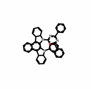 C1=CC2c3c(c4c(c5ccccc35)C3C=CC=CC3N4c3nc(-c4ccccc4)nc(-c4ccccc4)n3)N(c3ccccc3)C2C=C1